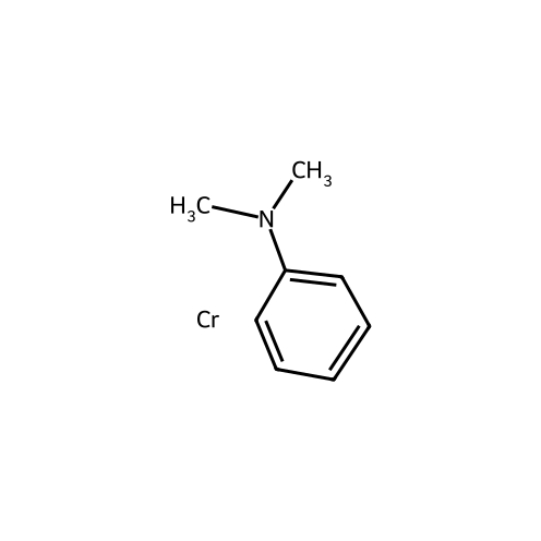 CN(C)c1ccccc1.[Cr]